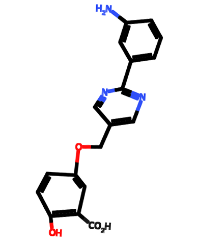 Nc1cccc(-c2ncc(COc3ccc(O)c(C(=O)O)c3)cn2)c1